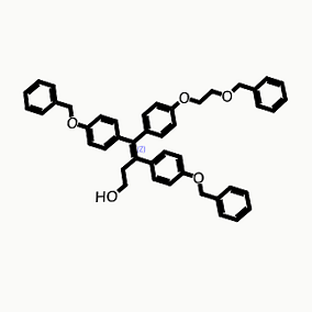 OCC/C(=C(/c1ccc(OCCOCc2ccccc2)cc1)c1ccc(OCc2ccccc2)cc1)c1ccc(OCc2ccccc2)cc1